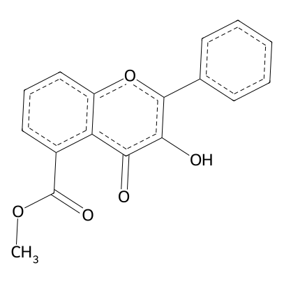 COC(=O)c1cccc2oc(-c3ccccc3)c(O)c(=O)c12